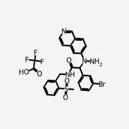 CS(=O)(=O)c1ccccc1CNC(=O)C(c1cccc(Br)c1)N(N)c1ccc2cnccc2c1.O=C(O)C(F)(F)F